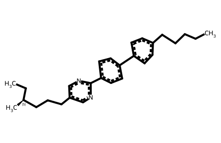 CCCCCc1ccc(-c2ccc(-c3ncc(CCC[C@@H](C)CC)cn3)cc2)cc1